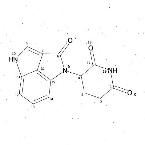 O=C1CCC(N2C(=O)c3c[nH]c4cccc2c34)C(=O)N1